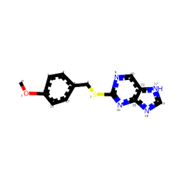 COc1ccc(CSc2ncc3[nH]cnc3n2)cc1